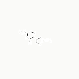 Cn1cc(-c2ncc(N)nc2Cl)cn1